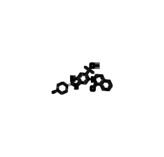 CC(C)(O)c1cc2nc([C@H]3CC[C@H](C)CC3)sc2cc1-n1ccc2ccccc2c1=O